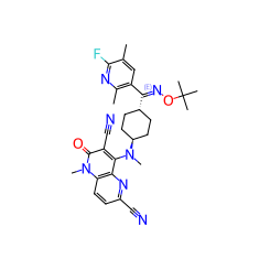 Cc1cc(/C(=N/OC(C)(C)C)[C@H]2CC[C@H](N(C)c3c(C#N)c(=O)n(C)c4ccc(C#N)nc34)CC2)c(C)nc1F